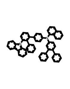 c1ccc(-c2ccc(N(c3ccc(-c4cccc(-n5c6ccccc6c6ccccc65)c4-c4ccccc4)cc3)c3cccc4ccccc34)cc2-c2ccccc2)cc1